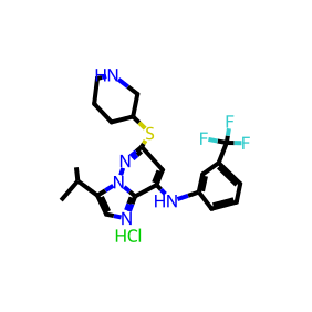 CC(C)c1cnc2c(Nc3cccc(C(F)(F)F)c3)cc(SC3CCCNC3)nn12.Cl